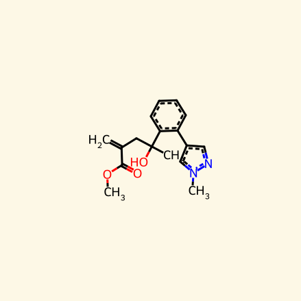 C=C(CC(C)(O)c1ccccc1-c1cnn(C)c1)C(=O)OC